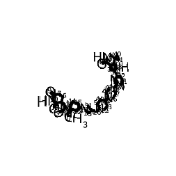 Cn1c(=O)n(C2CCC(=O)NC2=O)c2ccc(N3CC(CN4CCC(N5CCN(c6nccc(-c7cc8c([nH]7)C7(CC7)CNC8=O)n6)CC5)CC4)C3)cc21